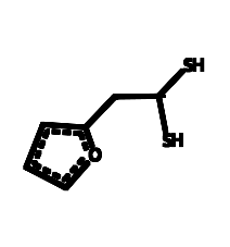 S[C](S)Cc1ccco1